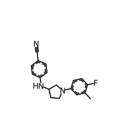 Cc1cc(N2CCC(Nc3ccc(C#N)cc3)C2)ccc1F